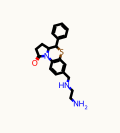 NCCNCc1ccc2c(c1)SC(c1ccccc1)C1CCC(=O)N21